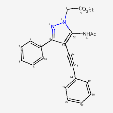 CCOC(=O)Cn1nc(-c2ccccc2)c(C#Cc2ccccc2)c1NC(C)=O